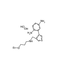 CCOCCCNCc1cscc1-c1cc(N)ccc1N.Cl.Cl